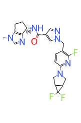 Cn1cnc2c1CC[C@H]2NC(=O)c1cnn(Cc2ccc(N3CC4C(C3)C4(F)F)nc2F)c1